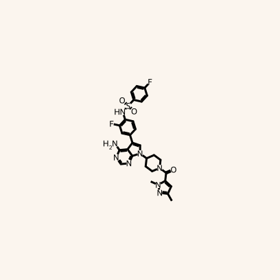 Cc1cc(C(=O)N2CCC(n3cc(-c4ccc(NS(=O)(=O)c5ccc(F)cc5)c(F)c4)c4c(N)ncnc43)CC2)n(C)n1